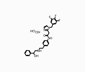 Cl.Cl.O=C(Cc1nccn1Cc1cc(F)c(F)c(F)c1)Nc1ccc(CCNCC(O)c2ccccc2)cc1